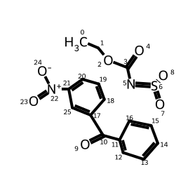 CCOC(=O)N=S(=O)=O.O=C(c1ccccc1)c1cccc([N+](=O)[O-])c1